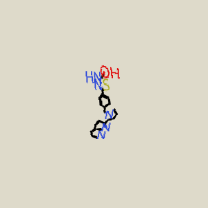 OC1NN=C(c2ccc(CN3CCCC3c3ccc4cccnc4n3)cc2)S1